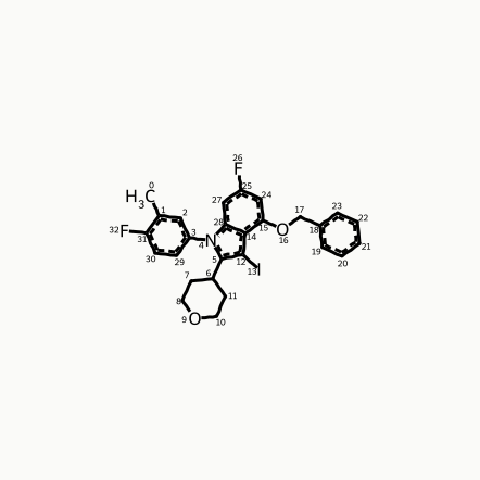 Cc1cc(-n2c(C3CCOCC3)c(I)c3c(OCc4ccccc4)cc(F)cc32)ccc1F